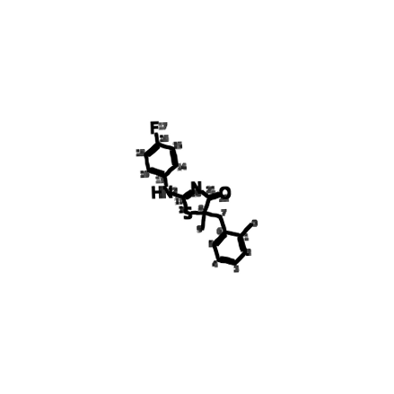 Cc1ccccc1CC1(C)SC(Nc2ccc(F)cc2)=NC1=O